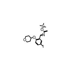 C=C(N=Cc1cc(I)ccc1OC1CCOCC1)O[Si](C)(C)C